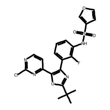 CC(C)(C)c1nc(-c2cccc(NS(=O)(=O)c3ccoc3)c2F)c(-c2ccnc(Cl)n2)o1